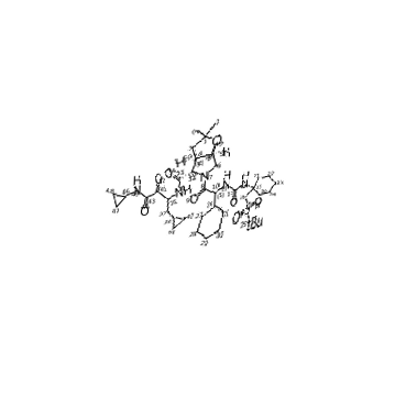 CC1(C)C[C@H]2[C@H](CN(C(=O)[C@@H](NC(=O)NC3(CS(=O)(=O)C(C)(C)C)CCCCC3)C3CCCCC3)[C@@H]2C(=O)NC(CC2CC2)C(=O)C(=O)NC2CC2)O1